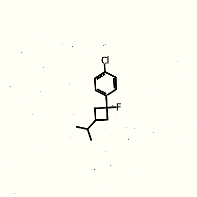 CC(C)C1CC(F)(c2ccc(Cl)cc2)C1